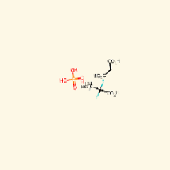 O=C(O)C(F)(F)C(=O)O.O=C(O)CC(=O)O.O=P(O)(O)O.[LiH]